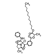 CCCCCCCCCCCCOC(=O)C(C)OC(=O)c1cccc(C(=O)C(Cl)(C(=O)Nc2ccccc2)N2C(=O)CC(C)C2=O)c1